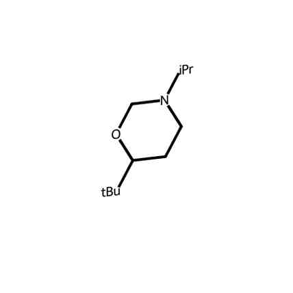 CC(C)N1CCC(C(C)(C)C)OC1